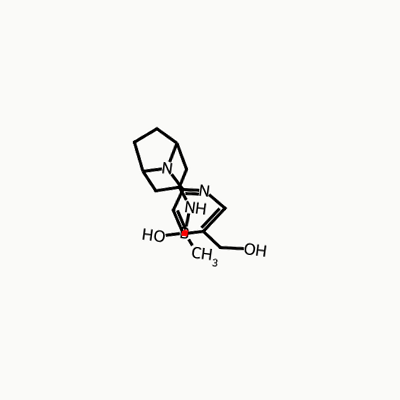 CB(O)NC1CC2CCC(C1)N2c1ccc(CO)cn1